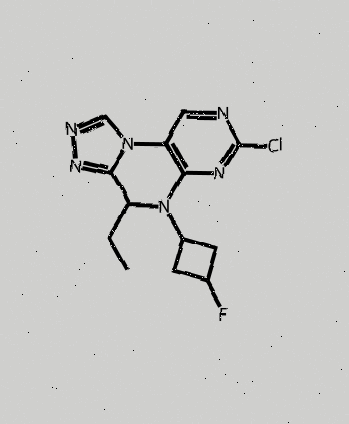 CCC1c2nncn2-c2cnc(Cl)nc2N1C1CC(F)C1